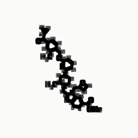 COC(=O)c1ccc2nc(CN3CCN(c4cccc(OCc5ccc(C(=O)C6CC6)cc5C)n4)C[C@@H]3C)n(CC3CCO3)c2c1